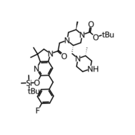 C[C@@H]1CNCCN1C[C@H]1CN(C(=O)OC(C)(C)C)[C@H](C)CN1CC(=O)N1CC(C)(C)c2nc(O[Si](C)(C)C(C)(C)C)c(Cc3ccc(F)cc3)cc21